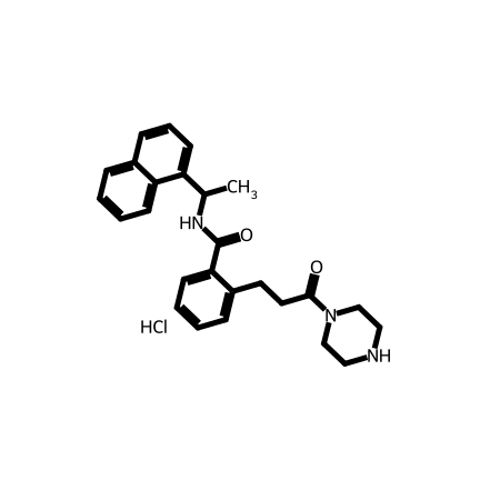 CC(NC(=O)c1ccccc1CCC(=O)N1CCNCC1)c1cccc2ccccc12.Cl